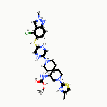 Cc1csc(N2CCC3(CCN(c4cnc(Sc5ccc6nn(C)cc6c5Cl)cn4)CC3)C(NC(=O)OC(C)(C)C)C2)n1